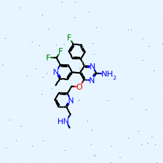 CNCc1cccc(COc2nc(N)nc(-c3ccc(F)cc3)c2-c2cc(C)nc(C(F)F)c2)n1